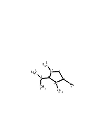 CC(=O)C1CN(C)C(N(C)C)N1C